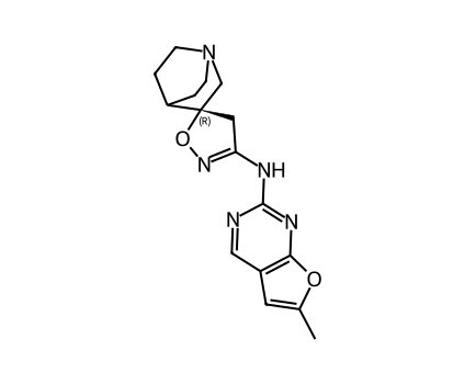 Cc1cc2cnc(NC3=NO[C@@]4(C3)CN3CCC4CC3)nc2o1